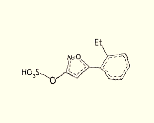 CCc1ccccc1-c1cc(OS(=O)(=O)O)no1